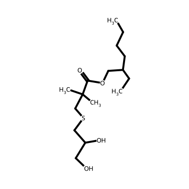 CCCCC(CC)COC(=O)C(C)(C)CSCC(O)CO